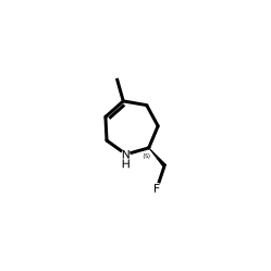 CC1=CCN[C@H](CF)CC1